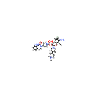 C#Cc1cc(C[C@@H](OC(O)N2CCC(N3CCc4ccccc4NC3=O)CC2)C(=O)N2CCC(C3CCN(C)CC3)CC2)cc(Cl)c1N